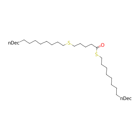 CCCCCCCCCCCCCCCCCCSCCCCC(=O)SCCCCCCCCCCCCCCCCCC